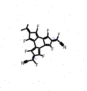 CC(C)=C1C(F)=c2c(c3c(c4c2=C(F)/C(=C(/F)C#N)C=4F)=C(F)/C(=C(/F)C#N)C=3F)=C1F